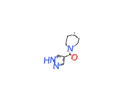 O=C(c1cn[nH]c1)N1CC[CH]CC1